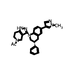 CC(=O)N1CCc2[nH]nc(N3C[C@@H](c4ccccc4)Cc4cc(-c5cnn(C)c5)ccc43)c2C1